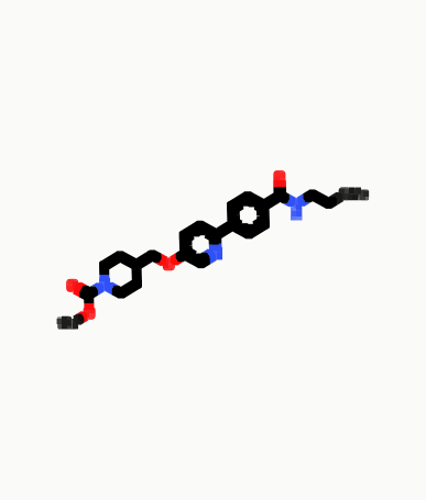 COCCNC(=O)c1ccc(-c2ccc(OCC3CCN(C(=O)OC(C)(C)C)CC3)cn2)cc1